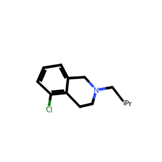 CC(C)CN1CCc2c(Cl)cccc2C1